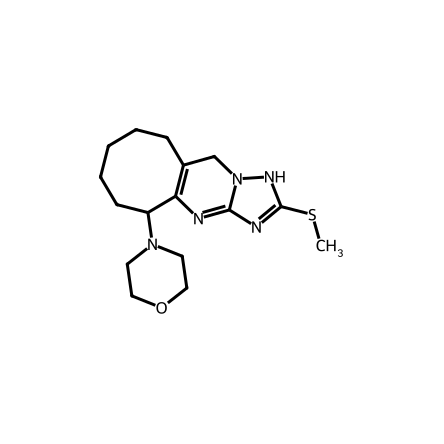 CSC1=NC2=NC3=C(CCCCCC3N3CCOCC3)CN2N1